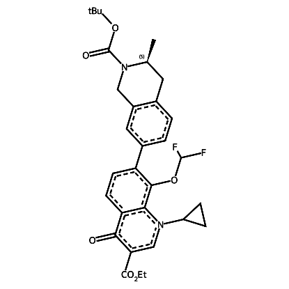 CCOC(=O)c1cn(C2CC2)c2c(OC(F)F)c(-c3ccc4c(c3)CN(C(=O)OC(C)(C)C)[C@@H](C)C4)ccc2c1=O